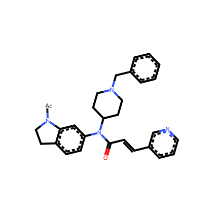 CC(=O)N1CCc2ccc(N(C(=O)C=Cc3cccnc3)C3CCN(Cc4ccccc4)CC3)cc21